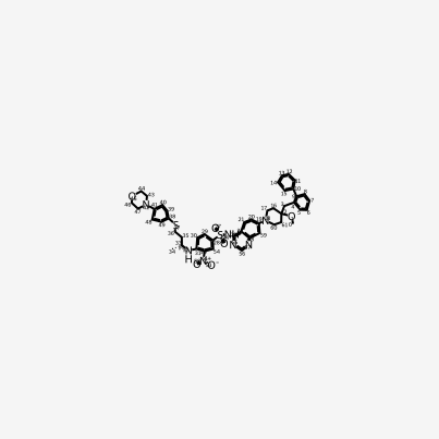 COC1(Cc2ccccc2-c2ccccc2)CCN(c2ccc3c(NS(=O)(=O)c4ccc(N[C@H](C)CCSc5ccc(N6CCOCC6)cc5)c([N+](=O)[O-])c4)ncnc3c2)CC1